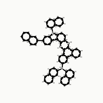 c1ccc2cc(-c3ccc4c5c6nc7c8ccc(N(c9ccc%10ccccc%10c9)c9cccc%10ccccc9%10)cc8c8ccccc8c7nc6ccc5n(-c5cccc6ccccc56)c4c3)ccc2c1